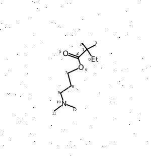 CCC(C)(C)C(=O)OCCCN(C)C